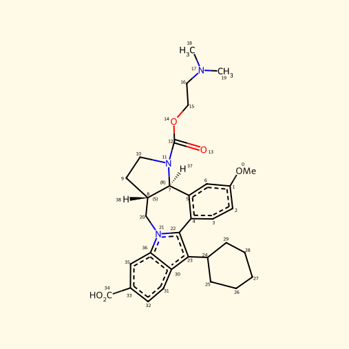 COc1ccc2c(c1)[C@H]1[C@@H](CCN1C(=O)OCCN(C)C)Cn1c-2c(C2CCCCC2)c2ccc(C(=O)O)cc21